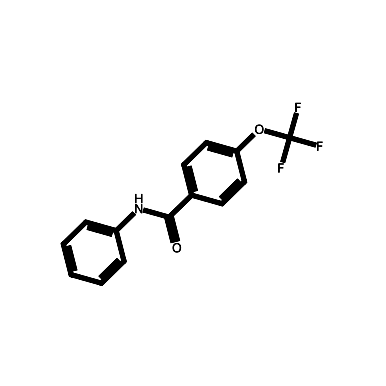 O=C(Nc1ccccc1)c1ccc(OC(F)(F)F)cc1